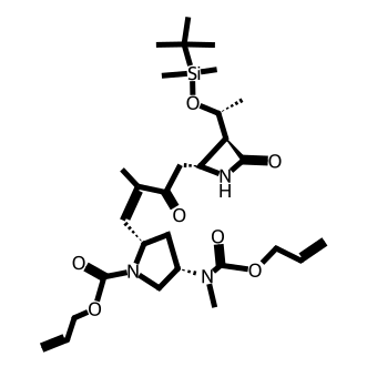 C=CCOC(=O)N(C)[C@H]1C[C@@H](C=C(C)C(=O)C[C@H]2NC(=O)[C@@H]2[C@@H](C)O[Si](C)(C)C(C)(C)C)N(C(=O)OCC=C)C1